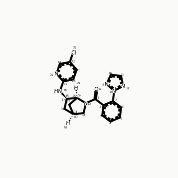 O=C(c1ccccc1-n1nccn1)N1C[C@H]2C[C@@H](Nc3ccc(Cl)cn3)[C@@H]1C2